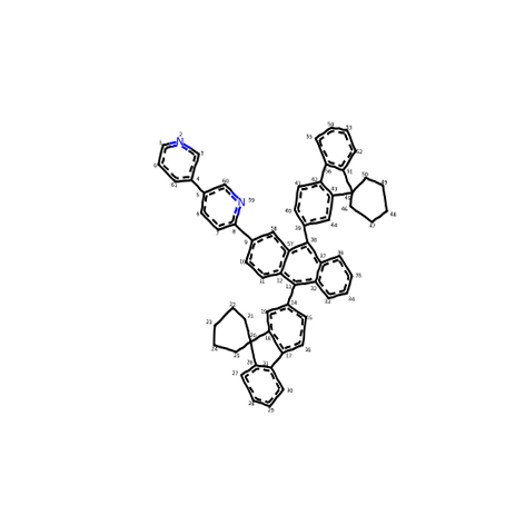 c1cncc(-c2ccc(-c3ccc4c(-c5ccc6c(c5)C5(CCCCC5)c5ccccc5-6)c5ccccc5c(-c5ccc6c(c5)C5(CCCCC5)c5ccccc5-6)c4c3)nc2)c1